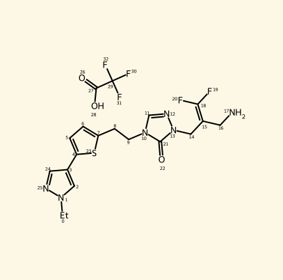 CCn1cc(-c2ccc(CCn3cnn(CC(CN)=C(F)F)c3=O)s2)cn1.O=C(O)C(F)(F)F